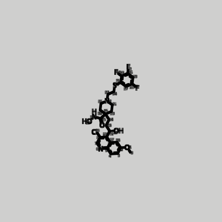 COc1ccc2ncc(Cl)c([C@H](O)CCC3(C(=O)NO)CCN(CCSc4cc(F)cc(F)c4F)CC3)c2c1